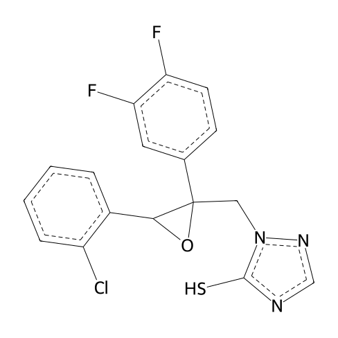 Fc1ccc(C2(Cn3ncnc3S)OC2c2ccccc2Cl)cc1F